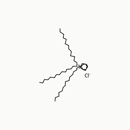 CCCCCCCCCCCC[CH2][Sb+]([CH2]CCCCCCCCCCCC)([CH2]CCCCCCCCCCCC)[c]1ccccc1.[Cl-]